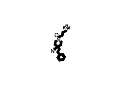 C[N+](C)(C)CCCC(=O)N1CCC(C#N)(CCc2ccccc2)CC1